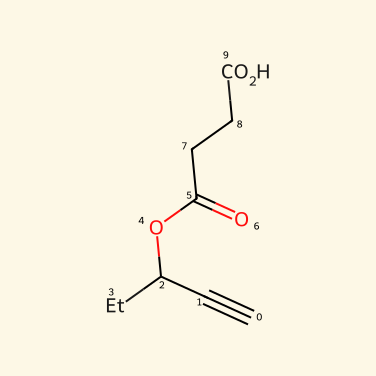 C#CC(CC)OC(=O)CCC(=O)O